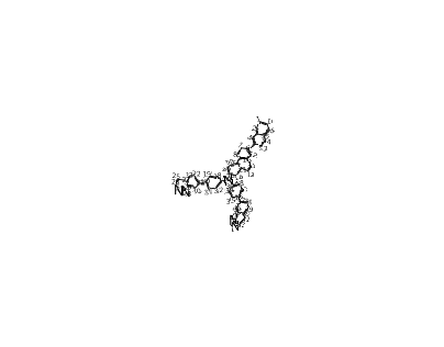 c1ccc2cc(-c3ccc4c(ccc5cc(N(c6ccc(-c7ccc8ccnnc8c7)cc6)c6ccc(-c7ccc8ccnnc8c7)cc6)ccc54)c3)ccc2c1